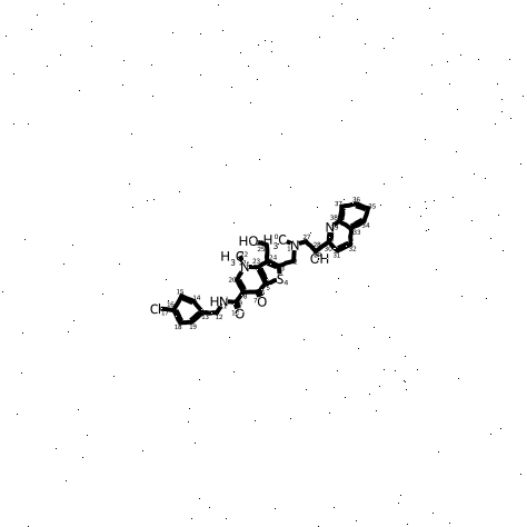 CN(Cc1sc2c(=O)c(C(=O)NCc3ccc(Cl)cc3)cn(C)c2c1CO)CC(O)c1ccc2ccccc2n1